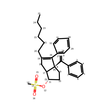 C=C(c1ccccc1)[C@@]12CC[C@H](OS(C)(=O)=O)C1CC(CCCCCC)=C2c1ccccc1